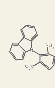 O=[N+]([O-])c1cccc([N+](=O)[O-])c1-n1c2ccccc2c2ccccc21